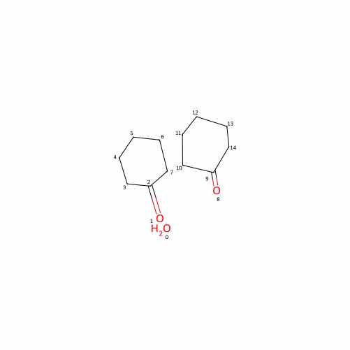 O.O=C1CCCCC1.O=C1CCCCC1